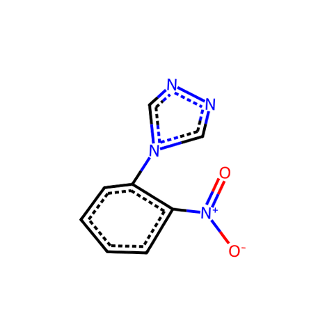 O=[N+]([O-])c1ccccc1-n1cnnc1